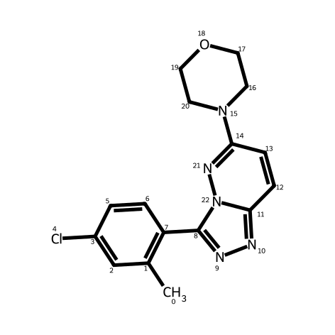 Cc1cc(Cl)ccc1-c1nnc2ccc(N3CCOCC3)nn12